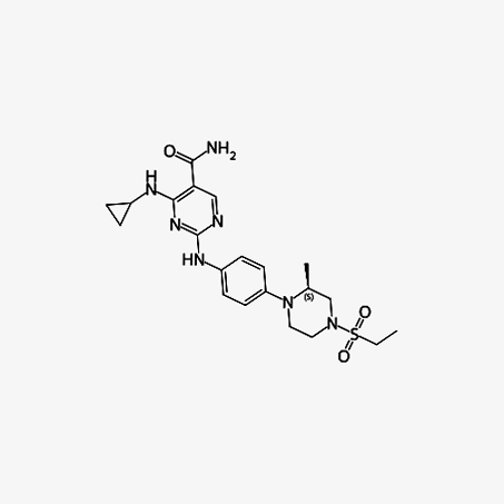 CCS(=O)(=O)N1CCN(c2ccc(Nc3ncc(C(N)=O)c(NC4CC4)n3)cc2)[C@@H](C)C1